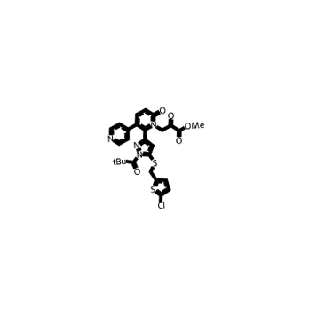 COC(=O)C(=O)Cn1c(-c2cc(SCc3ccc(Cl)s3)n(C(=O)C(C)(C)C)n2)c(-c2ccncc2)ccc1=O